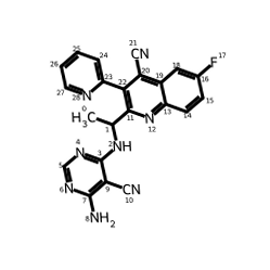 CC(Nc1ncnc(N)c1C#N)c1nc2ccc(F)cc2c(C#N)c1-c1ccccn1